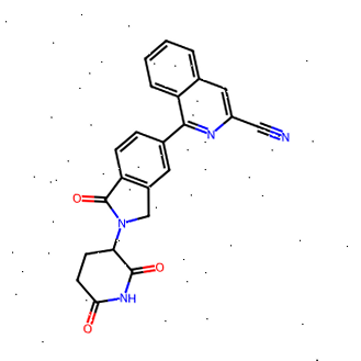 N#Cc1cc2ccccc2c(-c2ccc3c(c2)CN(C2CCC(=O)NC2=O)C3=O)n1